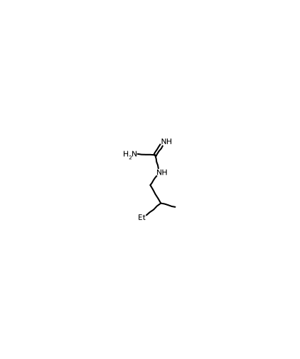 CCC(C)CNC(=N)N